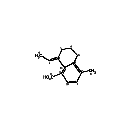 C/C=C1\CCCc2c(C)ccc(C(=O)O)c21